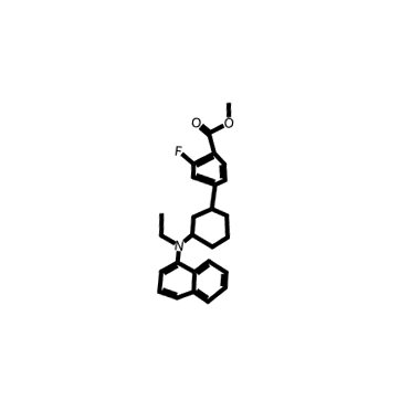 CCN(c1cccc2ccccc12)C1CCCC(c2ccc(C(=O)OC)c(F)c2)C1